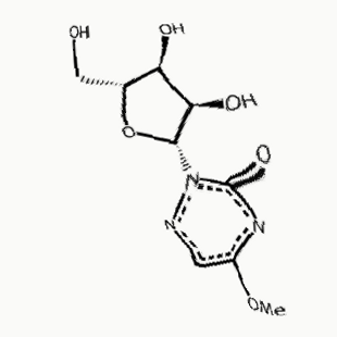 COc1cnn([C@@H]2O[C@H](CO)[C@@H](O)[C@H]2O)c(=O)n1